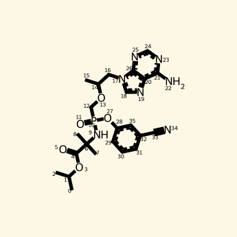 CC(C)OC(=O)C(C)(C)NP(=O)(COC(C)Cn1cnc2c(N)ncnc21)Oc1cccc(C#N)c1